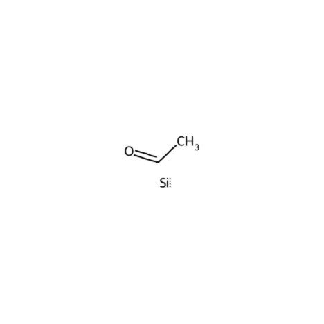 CC=O.[Si]